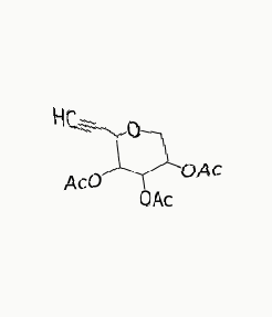 C#CC1OCC(OC(C)=O)C(OC(C)=O)C1OC(C)=O